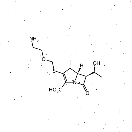 CC(O)[C@H]1C(=O)N2C(C(=O)O)=C(SCOCCN)[C@H](C)[C@H]12